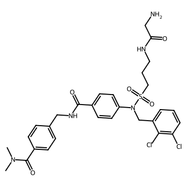 CN(C)C(=O)c1ccc(CNC(=O)c2ccc(N(Cc3cccc(Cl)c3Cl)S(=O)(=O)CCCNC(=O)CN)cc2)cc1